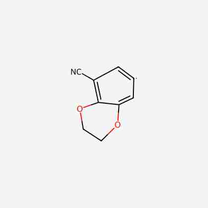 N#Cc1c[c]cc2c1OCCO2